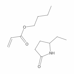 C=CC(=O)OCCCC.CCC1CCC(=O)N1